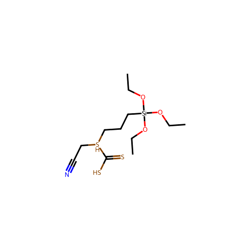 CCO[Si](CCC[SH](CC#N)C(=S)S)(OCC)OCC